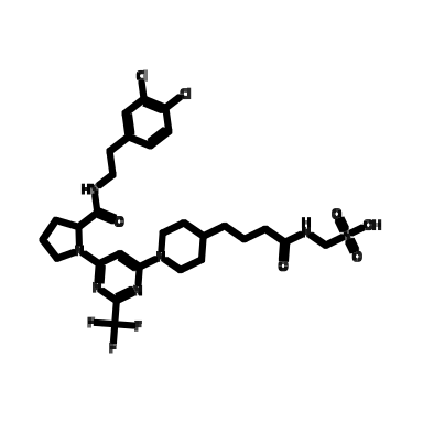 O=C(CCCC1CCN(c2cc(N3CCCC3C(=O)NCCc3ccc(Cl)c(Cl)c3)nc(C(F)(F)F)n2)CC1)NCS(=O)(=O)O